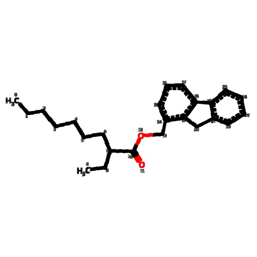 CCCCCCCC(CC)C(=O)OCc1cccc2c1Cc1ccccc1-2